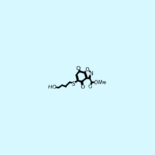 COC(=O)c1noc2c1C(=O)C(SCCCCO)=CC2=O